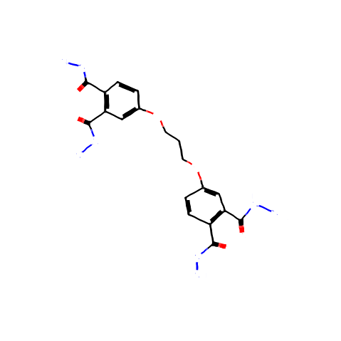 NNC(=O)c1ccc(OCCCOc2ccc(C(=O)NN)c(C(=O)NN)c2)cc1C(=O)NN